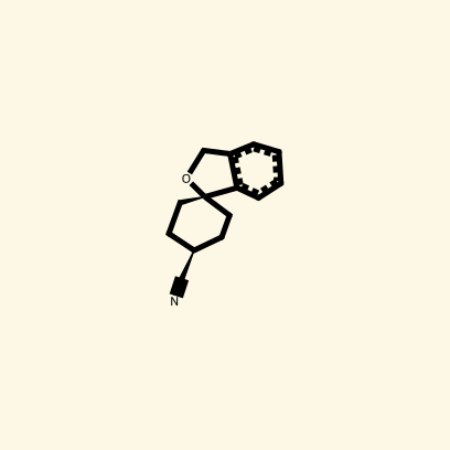 N#C[C@H]1CC[C@@]2(CC1)OCc1ccccc12